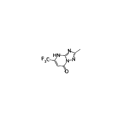 Cc1nc2[nH]c(C(F)(F)F)cc(=O)n2n1